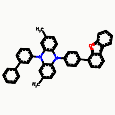 Cc1ccc2c(c1)N(c1cccc(-c3ccccc3)c1)c1cc(C)ccc1N2c1ccc(-c2cccc3c2oc2ccccc23)cc1